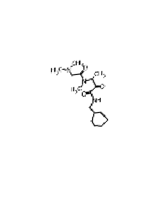 CC(C(=O)C(=O)NCC1CCCCC1)N(C)C(=O)CN(C)C